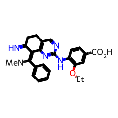 CCOc1cc(C(=O)O)ccc1Nc1ncc2c(n1)/C(=C(/NC)c1ccccc1)C(=N)CC2